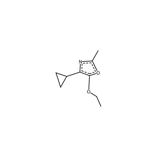 CCOc1oc(C)nc1C1CC1